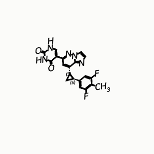 Cc1c(F)cc([C@H]2C[C@@H]2c2cc(-c3c[nH]c(=O)[nH]c3=O)nn3ccnc23)cc1F